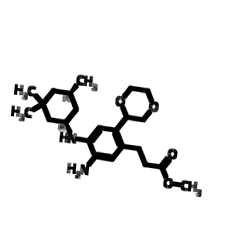 COC(=O)CCc1cc(N)c(N[C@@H]2C[C@H](C)CC(C)(C)C2)cc1C1COCCO1